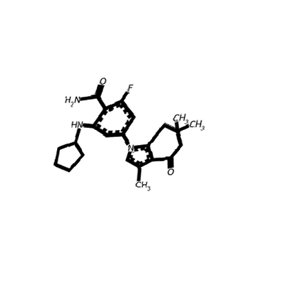 Cc1cn(-c2cc(F)c(C(N)=O)c(NC3CCCC3)c2)c2c1C(=O)CC(C)(C)C2